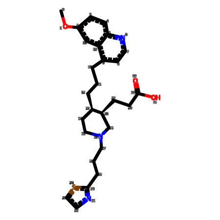 COc1ccc2nccc(CCC[C@@H]3CCN(CCCc4nccs4)C[C@@H]3CCC(=O)O)c2c1